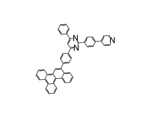 c1ccc(-c2cc(-c3ccc(-c4cc5c6ccccc6c6ccccc6c5c5ccccc45)cc3)nc(-c3ccc(-c4ccncc4)cc3)n2)cc1